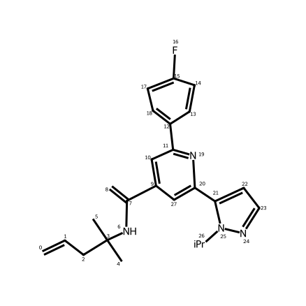 C=CCC(C)(C)NC(=C)c1cc(-c2ccc(F)cc2)nc(-c2ccnn2C(C)C)c1